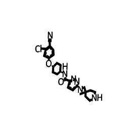 N#Cc1ccc(O[C@H]2CC[C@H](NC(=O)c3ccc(N4CC5(CCNCC5)C4)nn3)CC2)cc1Cl